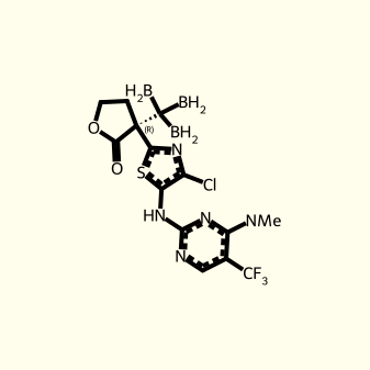 BC(B)(B)[C@@]1(c2nc(Cl)c(Nc3ncc(C(F)(F)F)c(NC)n3)s2)CCOC1=O